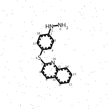 NNc1ccc(Sc2ccc3ccccc3n2)cc1